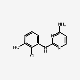 Nc1ccnc(Nc2cccc(O)c2Cl)n1